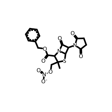 CC1(CO[N+](=O)[O-])SC2C(N3C(=O)CCC3=O)C(=O)N2C1C(=O)OCc1ccccc1